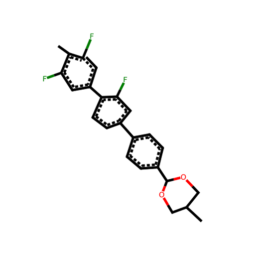 Cc1c(F)cc(-c2ccc(-c3ccc(C4OCC(C)CO4)cc3)cc2F)cc1F